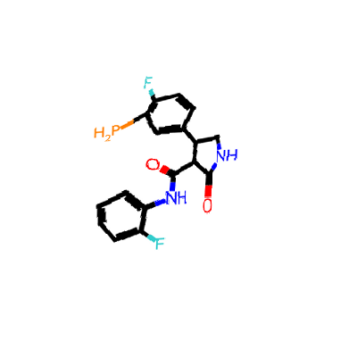 O=C1NCC(c2ccc(F)c(P)c2)C1C(=O)Nc1ccccc1F